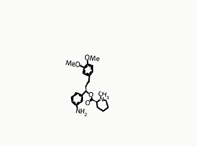 COc1ccc(CC[C@@H](OC(=O)[C@@H]2CCCCN2C)c2cccc(N)c2)cc1OC